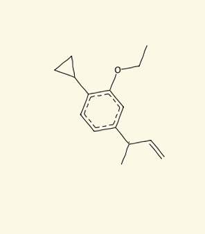 C=C[C](C)c1ccc(C2CC2)c(OCC)c1